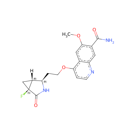 COc1cc2c(OCC[C@H]3NC(=O)[C@]4(F)C[C@H]34)ccnc2cc1C(N)=O